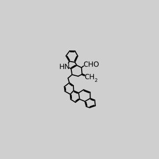 C=C1CC(Cc2ccc3ccc4c5ccccc5ccc4c3c2)c2[nH]c3ccccc3c2C1C=O